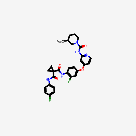 COC1CCCN(C(=O)Nc2cc(Oc3ccc(NC(=O)C4(C(=O)Nc5ccc(F)cc5)CC4)c(F)c3)ccn2)C1